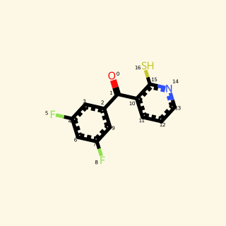 O=C(c1cc(F)cc(F)c1)c1cccnc1S